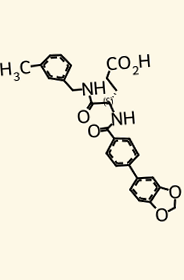 Cc1cccc(CNC(=O)[C@H](CCC(=O)O)NC(=O)c2ccc(-c3ccc4c(c3)OCO4)cc2)c1